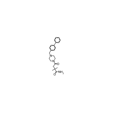 CC(C)([CH]C(=O)N1CCN(Cc2ccc(-c3ccccc3)cc2)CC1)C(N)=O